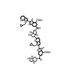 COc1cc(C(=O)N2C[C@@H]3C(c4ccc5cc(-c6nc7cc(C(=O)N8C[C@H]9CCN[C@H]9C8)cc(OC)c7n6C)n(CC6CC6)c5n4)CN[C@@H]3C2)cc2nc(-c3cc4cccnc4n3CC3CC3)n(C)c12